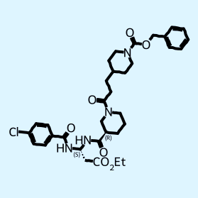 CCOC(=O)C[C@H](NC(=O)c1ccc(Cl)cc1)NC(=O)[C@@H]1CCCN(C(=O)CCC2CCN(C(=O)OCc3ccccc3)CC2)C1